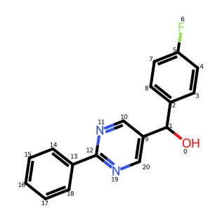 OC(c1ccc(F)cc1)c1cnc(-c2ccccc2)nc1